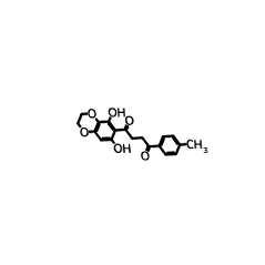 Cc1ccc(C(=O)CCC(=O)c2c(O)cc3c(c2O)OCCO3)cc1